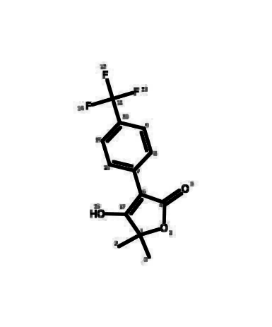 CC1(C)OC(=O)C(c2ccc(C(F)(F)F)cc2)=C1O